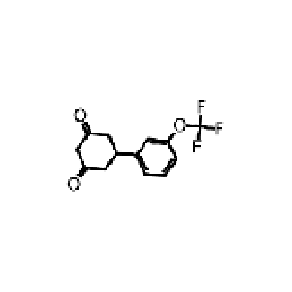 O=C1CC(=O)CC(c2cccc(OC(F)(F)F)c2)C1